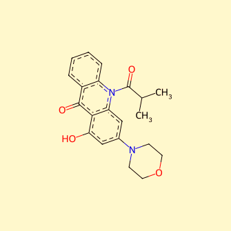 CC(C)C(=O)n1c2ccccc2c(=O)c2c(O)cc(N3CCOCC3)cc21